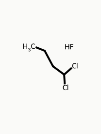 CCCC(Cl)Cl.F